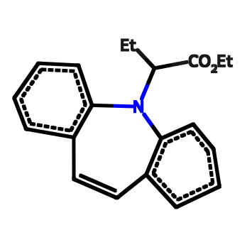 CCOC(=O)C(CC)N1c2ccccc2C=Cc2ccccc21